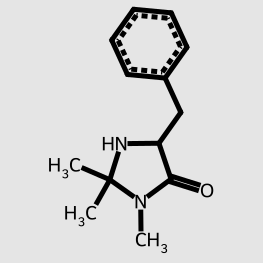 CN1C(=O)C(Cc2ccccc2)NC1(C)C